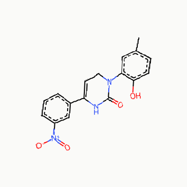 Cc1ccc(O)c(N2CC=C(c3cccc([N+](=O)[O-])c3)NC2=O)c1